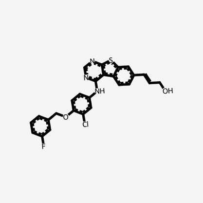 OCC=Cc1ccc2c(c1)sc1ncnc(Nc3ccc(OCc4cccc(F)c4)c(Cl)c3)c12